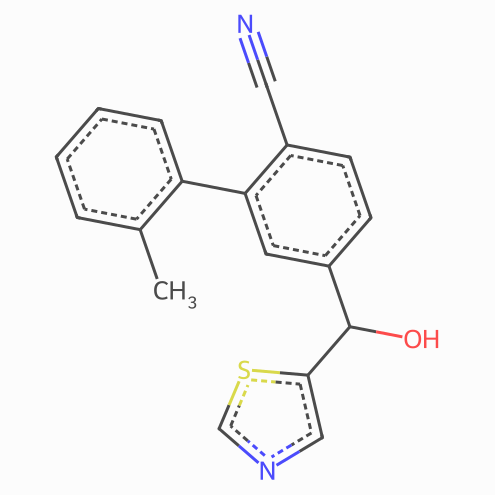 Cc1ccccc1-c1cc(C(O)c2cncs2)ccc1C#N